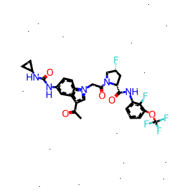 CC(=O)c1cn(CC(=O)N2C[C@H](F)C[C@H]2C(=O)Nc2cccc(OC(F)(F)F)c2F)c2ccc(NC(=O)NC3CC3)cc12